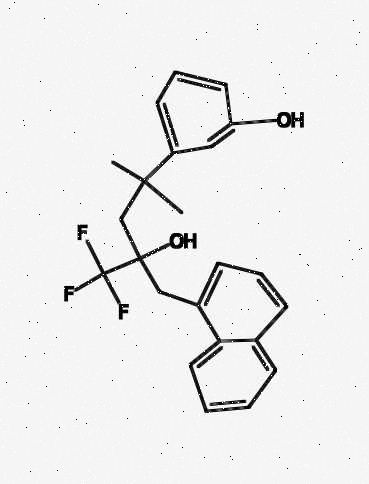 CC(C)(CC(O)(Cc1cccc2ccccc12)C(F)(F)F)c1cccc(O)c1